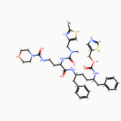 CC(C)c1nc(CN(C)C(=O)NC(CCNC(=O)N2CCOCC2)C(=O)NC(CCC(Cc2ccccc2)NC(=O)OCc2cncs2)Cc2ccccc2)cs1